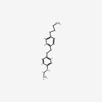 CCCCc1ccc(CCc2ccc(OCC)cc2)nc1